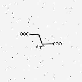 O=C([O-])CCC(=O)[O-].[Ag+2]